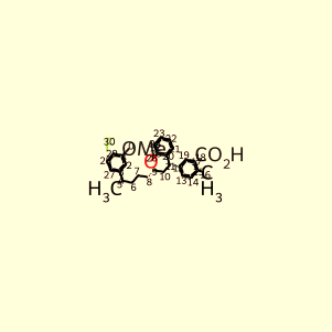 COc1cc([C@@H](C)CCC[C@H]2C[C@@H](c3ccc(C)c(C(=O)O)c3)c3ccccc3O2)ccc1F